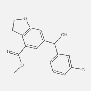 COC(=O)c1cc(C(O)c2cccc(Cl)c2)cc2c1CCO2